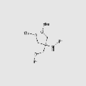 CC(C)NC(COC(C)C)(COC(C)(C)C)COC(C)(C)C